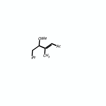 COC(CC(C)C)C(C)=CC(C)=O